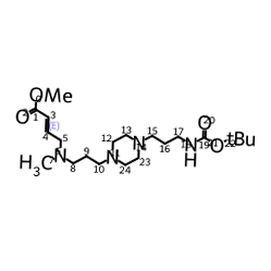 COC(=O)/C=C/CN(C)CCCN1CCN(CCCNC(=O)OC(C)(C)C)CC1